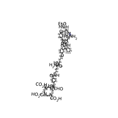 CCC(=O)NCCNC(=O)/N=C(/N)NCCC[C@@H](NC(=O)[C@H](c1ccccc1)c1cccc(OCCCCNC(=O)[C@H](N)CCCCNC(=O)c2ccc(CNC(C=O)N3CCN(CC(=O)O)CCN(CC(=O)O)CCN(CC(=O)O)CC3)cc2)c1)C(=O)NCc1ccc(O)cc1